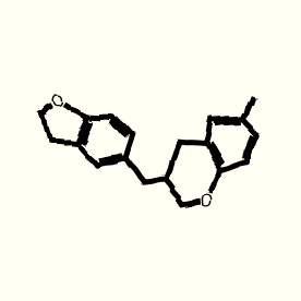 Cc1ccc2c(c1)CC(Cc1ccc3c(c1)CCO3)CO2